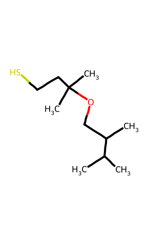 CC(C)C(C)COC(C)(C)CCS